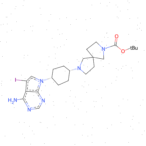 CC(C)(C)OC(=O)N1CCC2(CCN([C@H]3CC[C@@H](n4cc(I)c5c(N)ncnc54)CC3)C2)C1